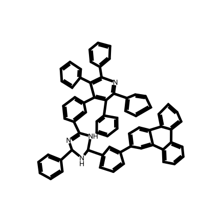 c1ccc(-c2nc(-c3ccccc3)c(-c3ccccc3)c(-c3cccc(C4=NC(c5ccccc5)NC(c5cccc(-c6ccc7c8ccccc8c8ccccc8c7c6)c5)N4)c3)c2-c2ccccc2)cc1